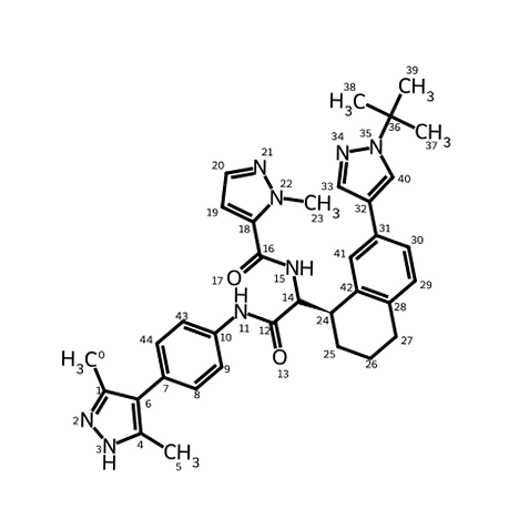 Cc1n[nH]c(C)c1-c1ccc(NC(=O)C(NC(=O)c2ccnn2C)[C@@H]2CCCc3ccc(-c4cnn(C(C)(C)C)c4)cc32)cc1